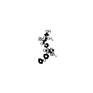 CC(C)(C=C(C#N)C(=O)N1CC[C@H](n2c(=O)n(-c3ccc(Oc4ccccc4)cc3)c3c(N)ncnc32)C1)N1CC(O)C1